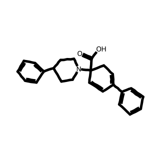 O=C(O)C1(N2CCC(c3ccccc3)CC2)C=CC(c2ccccc2)=CC1